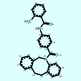 Cc1ccccc1C(=O)Nc1ccc(C(=O)N2Cc3ccccc3CCc3ccccc32)cc1